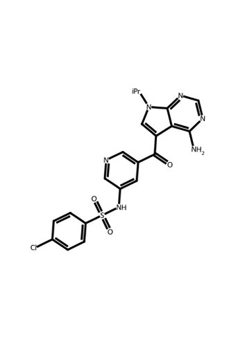 CC(C)n1cc(C(=O)c2cncc(NS(=O)(=O)c3ccc(Cl)cc3)c2)c2c(N)ncnc21